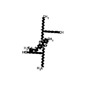 C#CC#CC#CC#CC#CC(CCCCCCCCCC)CCCCCN1C(=O)C(C2C(=O)N(CCCC(C#CC#CC#CC#CC#C)CCCCCCCCCC)c3cc(-c4ccc(-c5ccc(C)s5)s4)ccc32)c2ccc(C)cc21